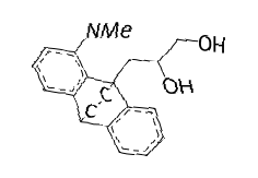 CNc1cccc2c1C1(CC(O)CO)CCC2c2ccccc21